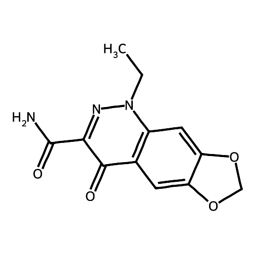 CCn1nc(C(N)=O)c(=O)c2cc3c(cc21)OCO3